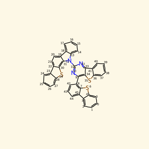 c1ccc2c(c1)sc1c(-c3nc(-n4c5ccccc5c5ccc6c7ccccc7sc6c54)nc4c3sc3ccccc34)cccc12